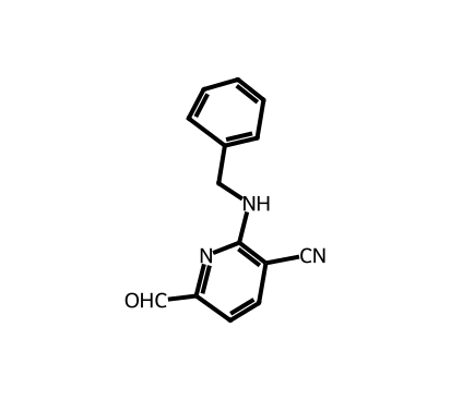 N#Cc1ccc(C=O)nc1NCc1ccccc1